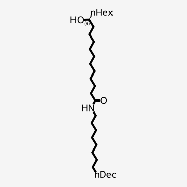 CCCCCCCCCCCCCCCCCCNC(=O)CCCCCCCCCC[C@H](O)CCCCCC